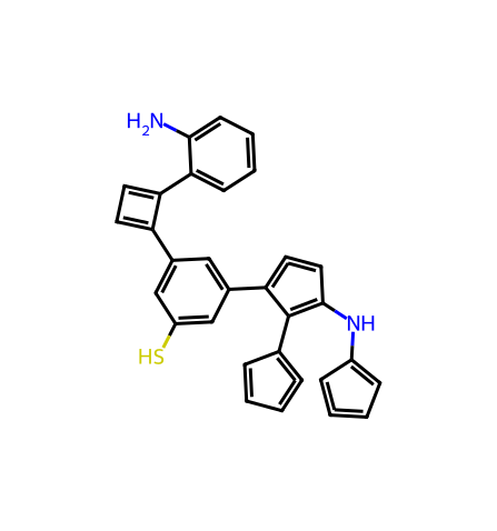 Nc1ccccc1C1=CC=C1c1cc(S)cc(C2=C=CC(NC3=CC=C=C3)=C2C2=C=CC=C2)c1